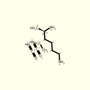 CC.N=C=O.N=C=O.NCCCC[C@H](N)C(=O)O